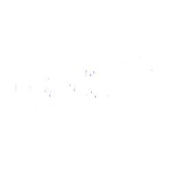 O=C(O)N1CCN(c2ncc(C3=CCCCC3)cn2)CC1